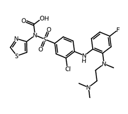 CN(C)CCN(C)c1cc(F)ccc1Nc1ccc(S(=O)(=O)N(C(=O)O)c2cscn2)cc1Cl